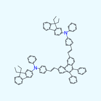 CCC1(CC)c2ccccc2-c2ccc(N(c3ccccc3)c3ccc(/C=C/c4ccc5c(-c6ccccc6)c(-c6ccccc6)c6ccc(/C=C/c7ccc(N(c8ccccc8)c8ccc9c(c8)C(CC)(CC)c8ccccc8-9)cc7)cc6c5c4)cc3)cc21